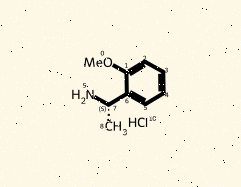 COc1ccccc1[C@H](C)N.Cl